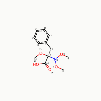 CON(OC)[C@](Cc1ccccc1)(OC)C(=O)O